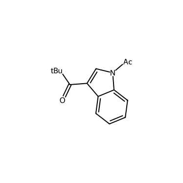 CC(=O)n1cc(C(=O)C(C)(C)C)c2ccccc21